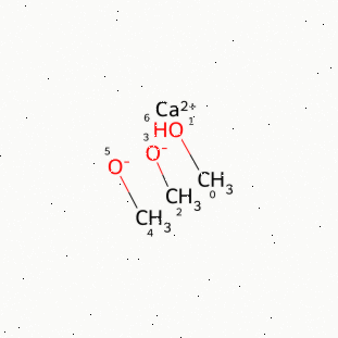 CO.C[O-].C[O-].[Ca+2]